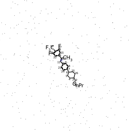 CCCOCC1CCC(c2ccc(/C=C(\C)c3cc(F)c(C(F)(F)F)c(F)c3)cc2)CC1